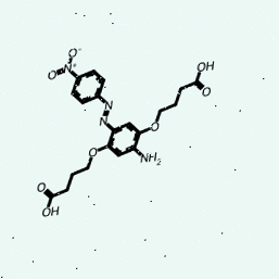 Nc1cc(OCCCC(=O)O)c(N=Nc2ccc([N+](=O)[O-])cc2)cc1OCCCC(=O)O